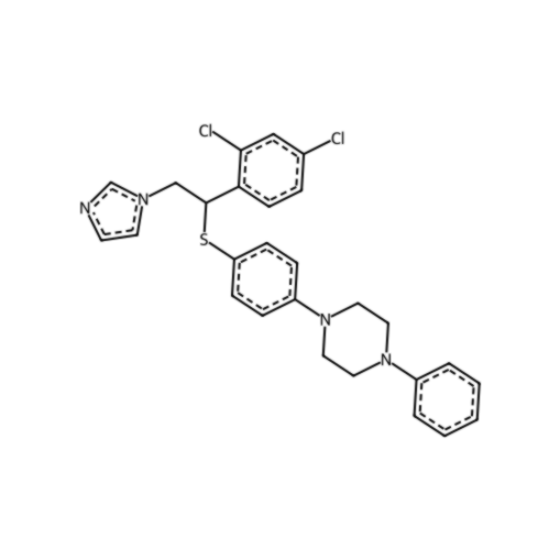 Clc1ccc(C(Cn2ccnc2)Sc2ccc(N3CCN(c4ccccc4)CC3)cc2)c(Cl)c1